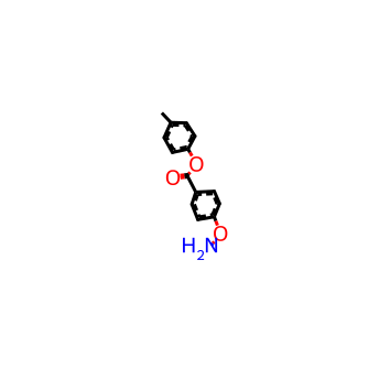 Cc1ccc(OC(=O)c2ccc(ON)cc2)cc1